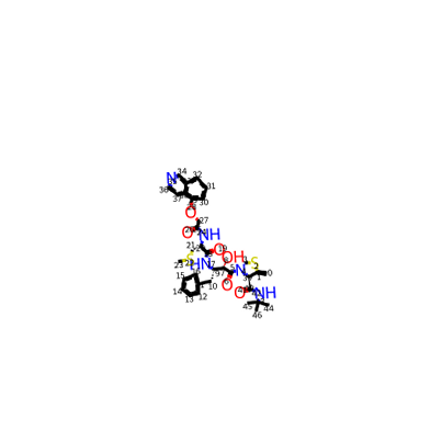 C=C1SCN(C(=O)[C@@H](O)[C@H](Cc2ccccc2)NC(=O)[C@H](CSC)NC(=O)COc2cccc3cnccc23)[C@@H]1C(=O)NC(C)(C)C